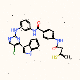 C=C(S)CC(=O)Nc1ccc(C(=O)Nc2cccc(Nc3ncc(Cl)c(-c4c[nH]c5ccccc45)n3)c2)cc1